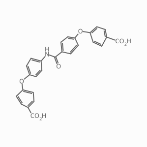 O=C(O)c1ccc(Oc2ccc(NC(=O)c3ccc(Oc4ccc(C(=O)O)cc4)cc3)cc2)cc1